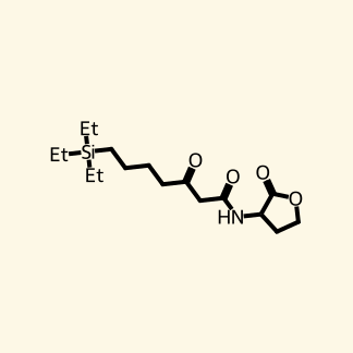 CC[Si](CC)(CC)CCCCC(=O)CC(=O)NC1CCOC1=O